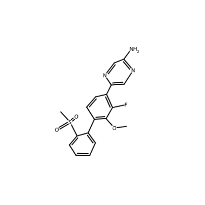 COc1c(-c2ccccc2S(C)(=O)=O)ccc(-c2cnc(N)cn2)c1F